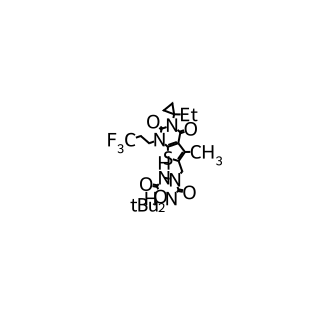 CCC1(n2c(=O)c3c(C)c(CN(NC(=O)OC(C)(C)C)C(N)=O)sc3n(CCC(F)(F)F)c2=O)CC1